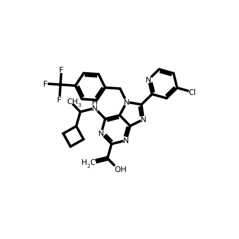 C=C(O)c1nc(NC(C)C2CCC2)c2c(n1)nc(-c1cc(Cl)ccn1)n2Cc1ccc(C(F)(F)F)cc1